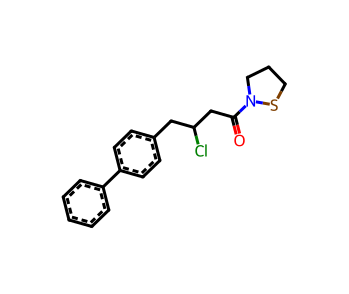 O=C(CC(Cl)Cc1ccc(-c2ccccc2)cc1)N1CCCS1